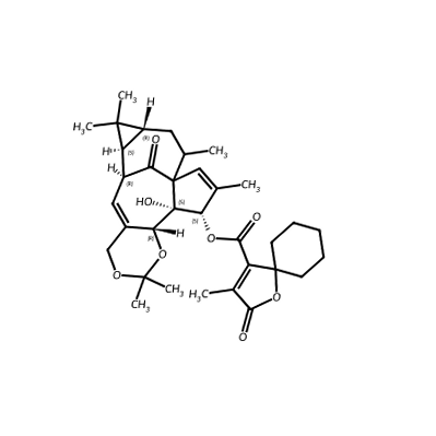 CC1=CC23C(=O)[C@@H](C=C4COC(C)(C)O[C@H]4[C@]2(O)[C@H]1OC(=O)C1=C(C)C(=O)OC12CCCCC2)[C@@H]1[C@@H](CC3C)C1(C)C